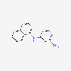 Nc1cc(Nc2cccc3ccccc23)ccn1